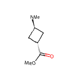 CN[C@H]1C[C@H](C(=O)OC)C1